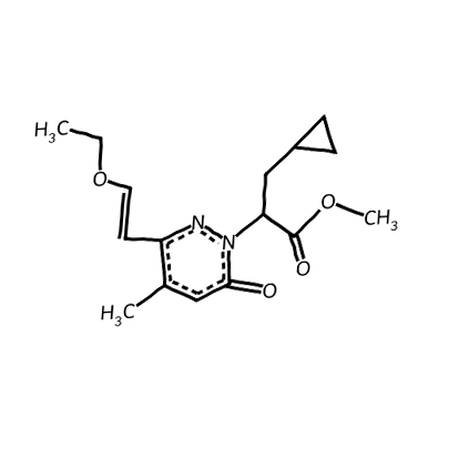 CCOC=Cc1nn(C(CC2CC2)C(=O)OC)c(=O)cc1C